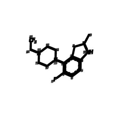 CC1Cc2c(ccc(F)c2N2CCN(CC(F)(F)F)CC2)N1